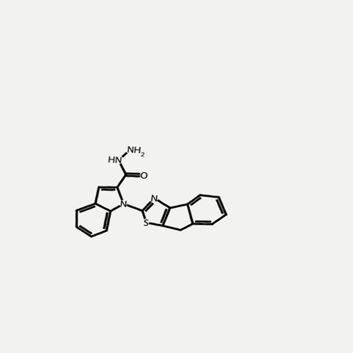 NNC(=O)c1cc2ccccc2n1-c1nc2c(s1)Cc1ccccc1-2